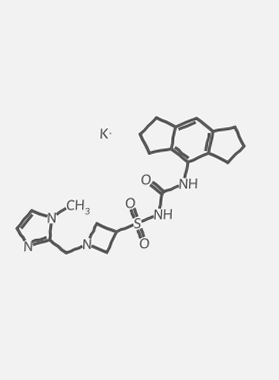 Cn1ccnc1CN1CC(S(=O)(=O)NC(=O)Nc2c3c(cc4c2CCC4)CCC3)C1.[K]